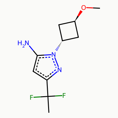 CO[C@H]1C[C@H](n2nc(C(C)(F)F)cc2N)C1